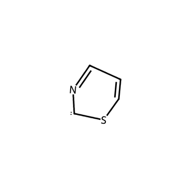 [C]1N=CC=CS1